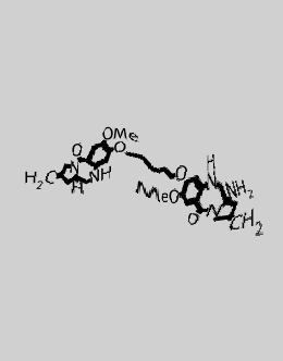 C=C1C[C@H]2CNc3cc(OCCCCCOc4cc5c(cc4OC)C(=O)N4CC(=C)C[C@@]4(N)CN5)c(OC)cc3C(=O)N2C1